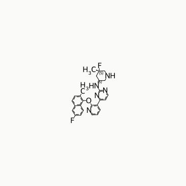 Cc1ccc2cc(F)ccc2c1Oc1ncccc1-c1ccnc(N[C@@H]2CNC[C@@](C)(F)C2)n1